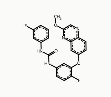 COc1cnc2ccc(Oc3cc(NC(=O)Nc4cccc(F)c4)ccc3F)cc2n1